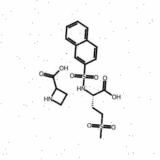 CS(=O)(=O)CC[C@H](NS(=O)(=O)c1ccc2ccccc2c1)C(=O)O.O=C(O)C1CCN1